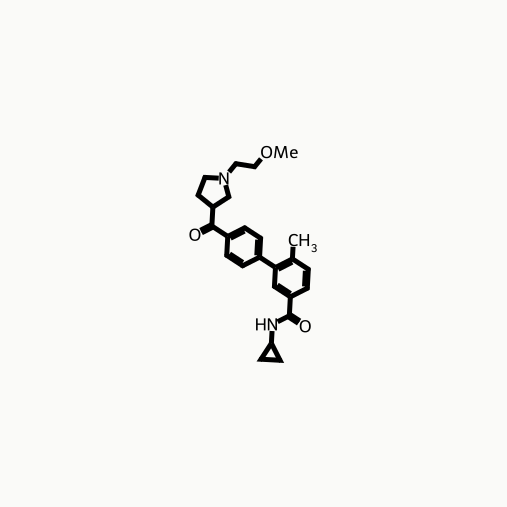 COCCN1CCC(C(=O)c2ccc(-c3cc(C(=O)NC4CC4)ccc3C)cc2)C1